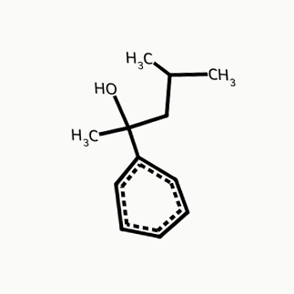 CC(C)CC(C)(O)c1ccccc1